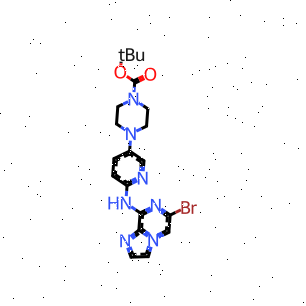 CC(C)(C)OC(=O)N1CCN(c2ccc(Nc3nc(Br)cn4ccnc34)nc2)CC1